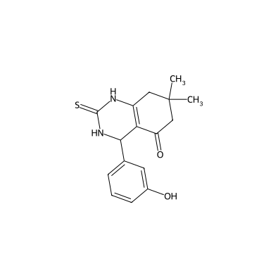 CC1(C)CC(=O)C2=C(C1)NC(=S)NC2c1cccc(O)c1